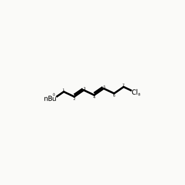 CCCCCC=CC=CCCCl